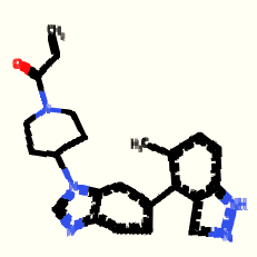 C=CC(=O)N1CCC(n2cnc3ccc(-c4c(C)ccc5[nH]ncc45)cc32)CC1